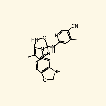 CC1=C2NOC(Nc3cc(C)c(C#N)cn3)(N=C1)N2c1ccc2c(c1)NCO2